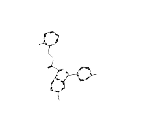 Cc1ccc2c(C(=O)NCc3ccccc3F)oc(-c3ccc(Cl)cc3)c2c1